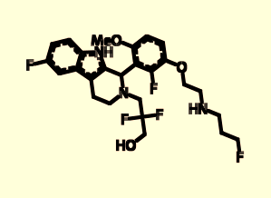 COc1ccc(OCCNCCCF)c(F)c1C1c2[nH]c3ccc(F)cc3c2CCN1CC(F)(F)CO